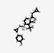 Fc1ccc([C@@H]2C[C@H]2CNc2ccn3c(CC4CC4)nnc3c2C(F)(F)F)cc1